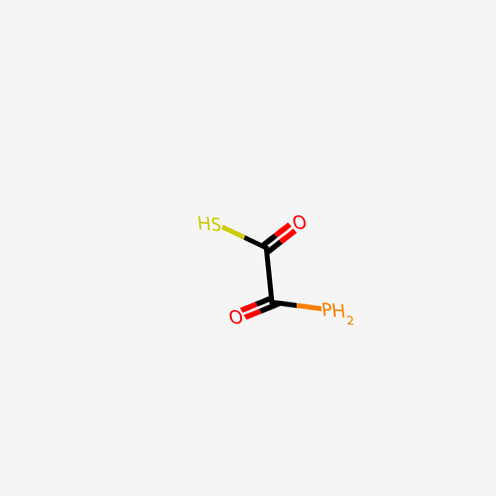 O=C(P)C(=O)S